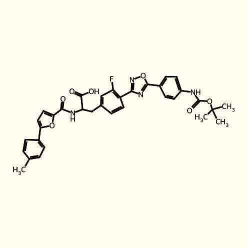 Cc1ccc(-c2ccc(C(=O)NC(Cc3ccc(-c4noc(-c5ccc(NC(=O)OC(C)(C)C)cc5)n4)c(F)c3)C(=O)O)o2)cc1